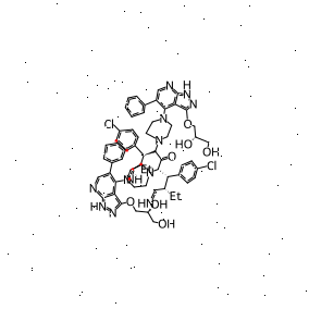 CC[C@H](C=N)[C@@H](c1ccc(Cl)cc1)C(C(=O)C([C@H](c1ccc(Cl)cc1)[C@@H](C=N)CC)N1CCN(c2c(-c3ccccc3)cnc3[nH]nc(OC[C@@H](O)CO)c23)CC1)N1CCN(c2c(-c3ccccc3)cnc3[nH]nc(OC[C@@H](O)CO)c23)CC1